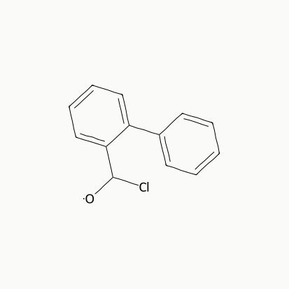 [O]C(Cl)c1ccccc1-c1ccccc1